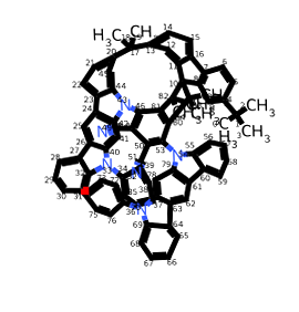 CC(C)(C)c1ccc2c(c1)C13c4cc(ccc4-2)C(C)(C)c2ccc4c5cc6c7ccccc7n(-c7ccccc7)c6cc5n(c4c2)-c2c(C#N)c(C#N)c(-n4c5ccccc5c5cc6c7ccccc7n(-c7ccccc7)c6cc54)c(c2C1(C)C)C3(C)C